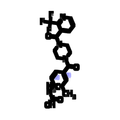 CC(C)/C=C(\C=C/CN[SH](=O)=O)C(=O)N1CCN(C(=O)c2cccnc2C(F)(F)F)CC1